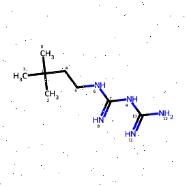 CC(C)(C)CCNC(=N)NC(=N)N